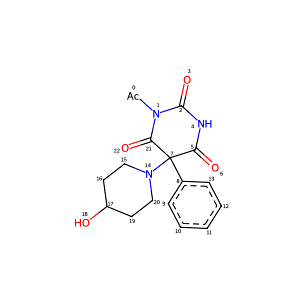 CC(=O)N1C(=O)NC(=O)C(c2ccccc2)(N2CCC(O)CC2)C1=O